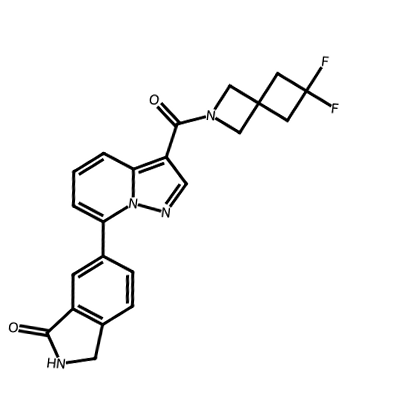 O=C1NCc2ccc(-c3cccc4c(C(=O)N5CC6(C5)CC(F)(F)C6)cnn34)cc21